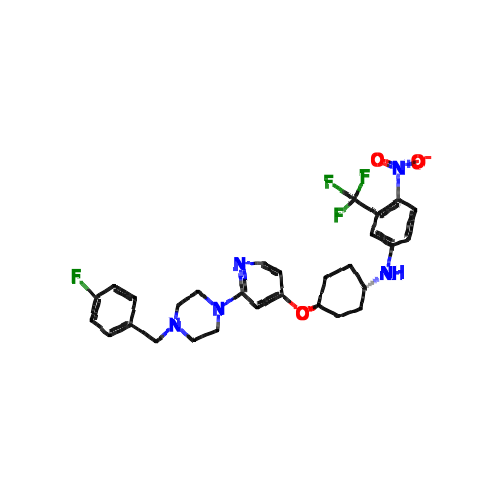 O=[N+]([O-])c1ccc(N[C@H]2CC[C@H](Oc3ccnc(N4CCN(Cc5ccc(F)cc5)CC4)c3)CC2)cc1C(F)(F)F